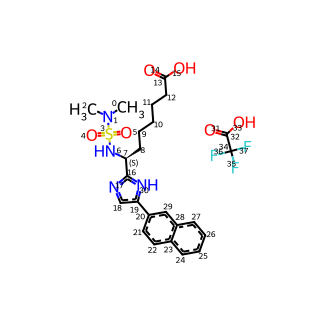 CN(C)S(=O)(=O)N[C@@H](CCCCCC(=O)O)c1ncc(-c2ccc3ccccc3c2)[nH]1.O=C(O)C(F)(F)F